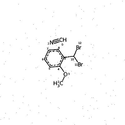 C#N.COc1ccccc1C(Br)Br